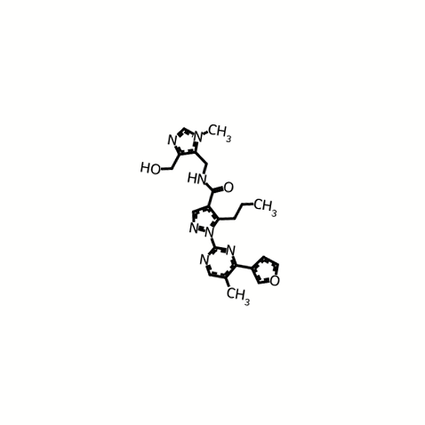 CCCc1c(C(=O)NCc2c(CO)ncn2C)cnn1-c1ncc(C)c(-c2ccoc2)n1